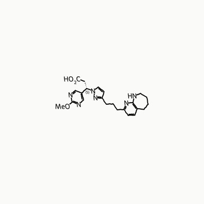 COc1ncc([C@H](CC(=O)O)n2ccc(CCCc3ccc4c(n3)NCCCC4)n2)cn1